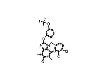 Cn1c(=O)c2c(nc(Oc3cccc(OC(F)(F)F)c3)n2Cc2ccc(Cl)c(Cl)c2)n(C)c1=O